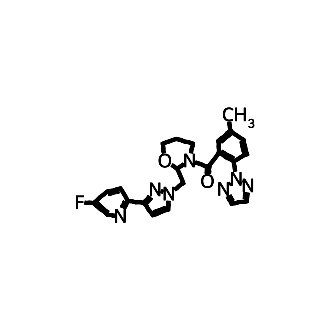 Cc1ccc(-n2nccn2)c(C(=O)N2CCCOC2Cn2ccc(-c3ccc(F)cn3)n2)c1